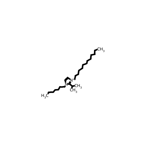 CCCCCCCCCCCCC[n+]1ccn(CCCCCCC)c1C(C)C